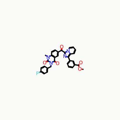 COC(=O)c1cccc(-c2nc(C(=O)c3ccc4c(c3)c(=O)n(Cc3ccc(F)cc3)c(=O)n4C)n3ccccc23)c1